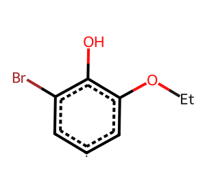 CCOc1c[c]cc(Br)c1O